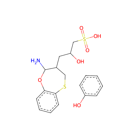 NC1Oc2ccccc2SCC1CC(O)CS(=O)(=O)O.Oc1ccccc1